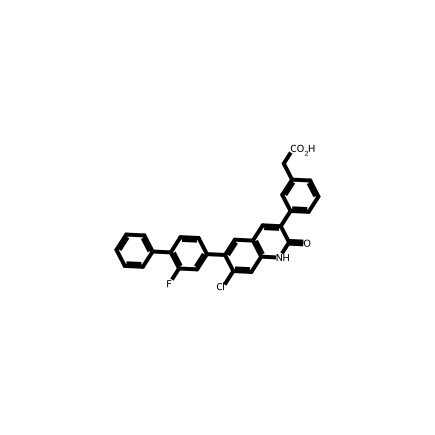 O=C(O)Cc1cccc(-c2cc3cc(-c4ccc(-c5ccccc5)c(F)c4)c(Cl)cc3[nH]c2=O)c1